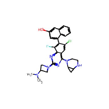 CN(C)C1CN(c2nc(N3CCNC4CC43)c3cc(Cl)c(-c4cc(O)cc5ccccc45)c(F)c3n2)C1